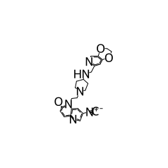 [C-]#[N+]c1cnc2ccc(=O)n(CCN3CCC(NCc4cc5c(cn4)OCCO5)CC3)c2c1